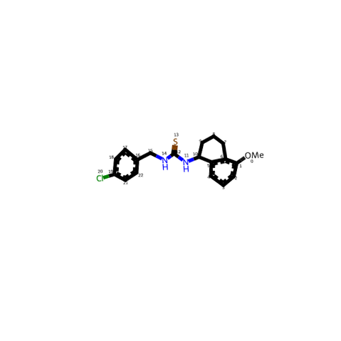 COc1cccc2c1CCCC2NC(=S)NCc1ccc(Cl)cc1